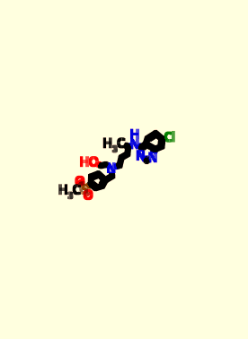 CC(CCCN(CCO)Cc1ccc(S(C)(=O)=O)cc1)Nc1ncnc2cc(Cl)ccc12